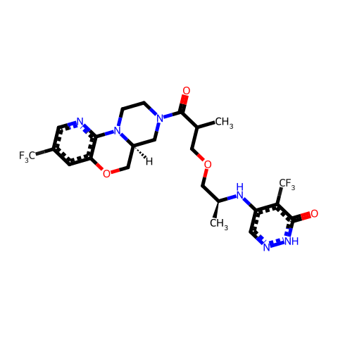 CC(COC[C@H](C)Nc1cn[nH]c(=O)c1C(F)(F)F)C(=O)N1CCN2c3ncc(C(F)(F)F)cc3OC[C@@H]2C1